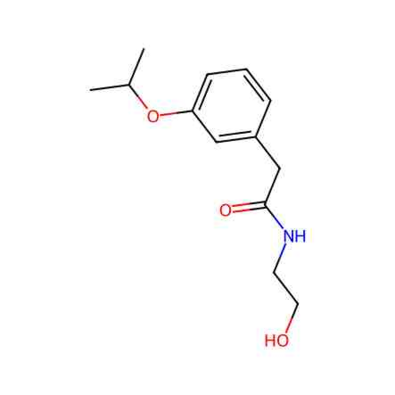 CC(C)Oc1cccc(CC(=O)NCCO)c1